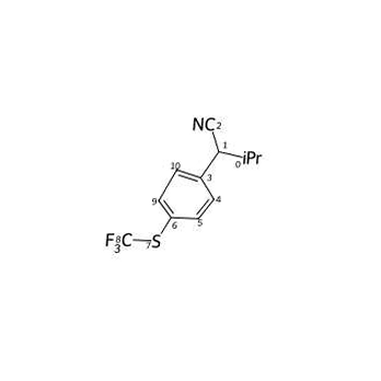 CC(C)C(C#N)c1ccc(SC(F)(F)F)cc1